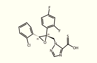 OC(=S)c1ncnn1C[C@@]1(c2ccc(F)cc2F)O[C@@H]1c1ccccc1Cl